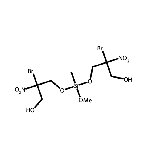 CO[Si](C)(OCC(Br)(CO)[N+](=O)[O-])OCC(Br)(CO)[N+](=O)[O-]